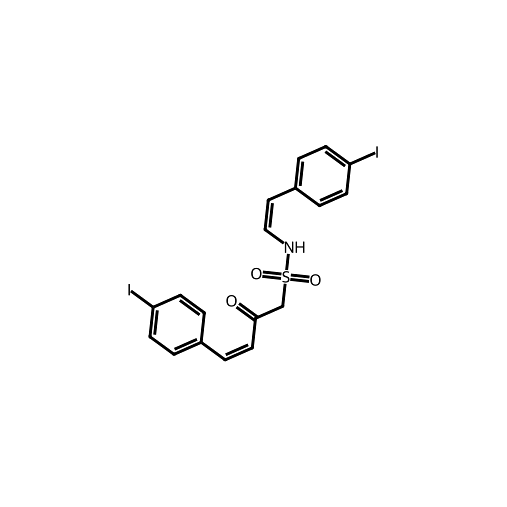 O=C(/C=C\c1ccc(I)cc1)CS(=O)(=O)N/C=C\c1ccc(I)cc1